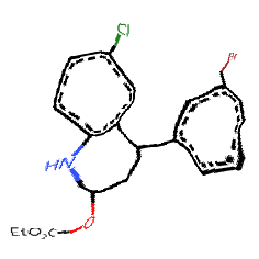 CCOC(=O)OC1CC(c2cccc(Br)c2)c2cc(Cl)ccc2N1